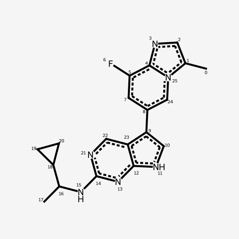 Cc1cnc2c(F)cc(-c3c[nH]c4nc(NC(C)C5CC5)ncc34)cn12